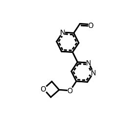 O=Cc1cc(-c2cc(OC3COC3)cnn2)ccn1